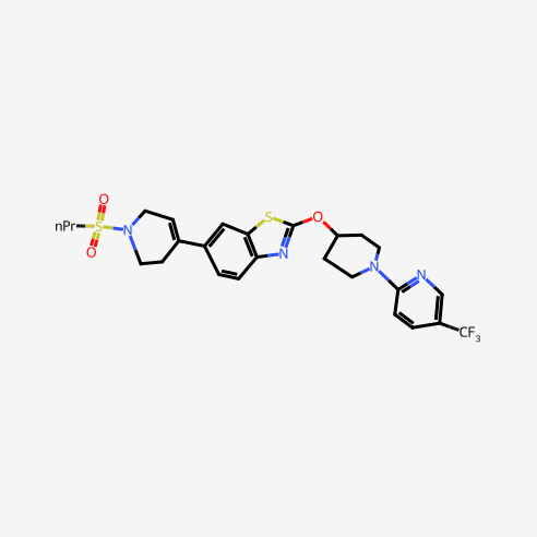 CCCS(=O)(=O)N1CC=C(c2ccc3nc(OC4CCN(c5ccc(C(F)(F)F)cn5)CC4)sc3c2)CC1